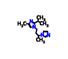 Cc1cn(CCC(C)n2ccnc2)c(C(C)C)n1